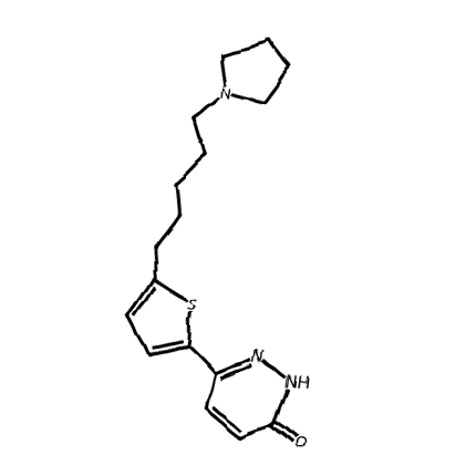 O=c1ccc(-c2ccc(CCCCCN3CCCC3)s2)n[nH]1